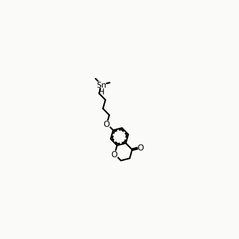 [CH3][SnH]([CH3])[CH2]CCCOc1ccc2c(c1)OCCC2=O